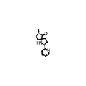 CN1CCC2(CCC(c3ccccn3)N2)C1=O